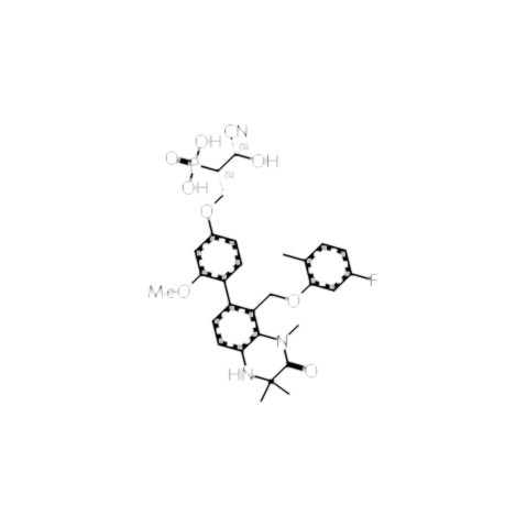 COc1cc(OC[C@@H]([C@@H](O)C#N)P(=O)(O)O)ccc1-c1ccc2c(c1COc1cc(F)ccc1C)N(C)C(=O)C(C)(C)N2